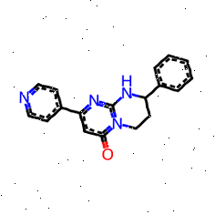 O=c1cc(-c2ccncc2)nc2n1CCC(c1ccccc1)N2